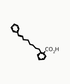 O=C(O)c1ccccc1CCCCCCC=Cc1ccccc1